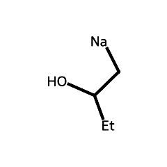 CCC(O)[CH2][Na]